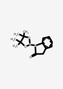 CC1(C)OB(N2C(=O)Cc3ccccc32)OC1(C)C